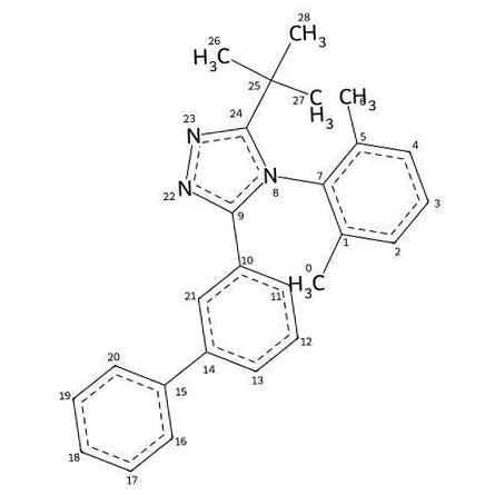 Cc1cccc(C)c1-n1c(-c2cccc(-c3ccccc3)c2)nnc1C(C)(C)C